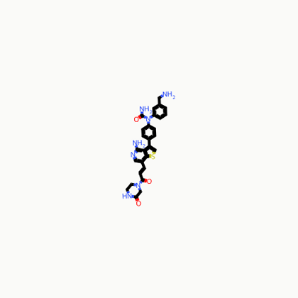 NCc1cccc(N(C(N)=O)c2ccc(-c3csc4c(/C=C/C(=O)N5CCNC(=O)C5)cnc(N)c34)cc2)c1